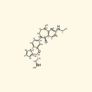 CCNc1ncc2c(n1)N(C)CCN(c1cccc(O[C@H](CCNC)c3cccs3)c1)C2=O